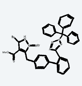 CCCN1NC(C(C)(C)C)C(C(=O)OC)=C1Cc1ccc(-c2ccccc2-c2nnn(C(c3ccccc3)(c3ccccc3)c3ccccc3)n2)cc1